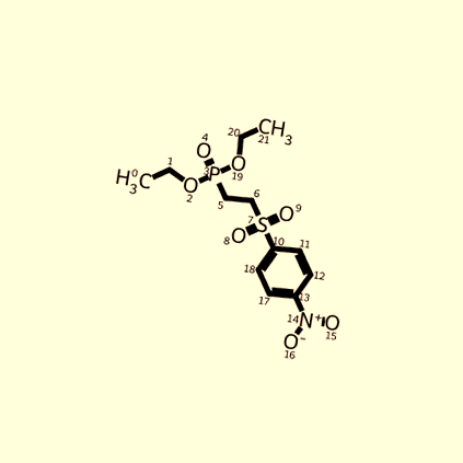 CCOP(=O)(CCS(=O)(=O)c1ccc([N+](=O)[O-])cc1)OCC